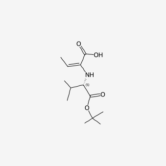 CC=C(N[C@H](C(=O)OC(C)(C)C)C(C)C)C(=O)O